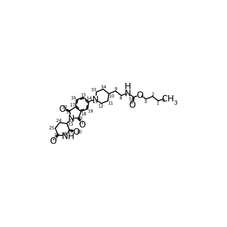 CCCCOC(=O)NCCC1CCN(c2ccc3c(c2)C(=O)N(C2CCC(=O)NC2=O)C3=O)CC1